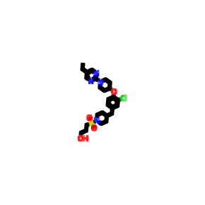 CCc1cnc(N2CCC(Oc3ccc(CC4CCN(S(=O)(=O)CCCO)CC4)cc3Cl)CC2)nc1